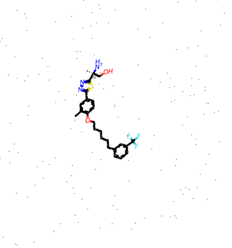 Cc1cc(-c2nnc([C@@](C)(N)CO)s2)ccc1OCCCCCCc1cccc(C(F)(F)F)c1